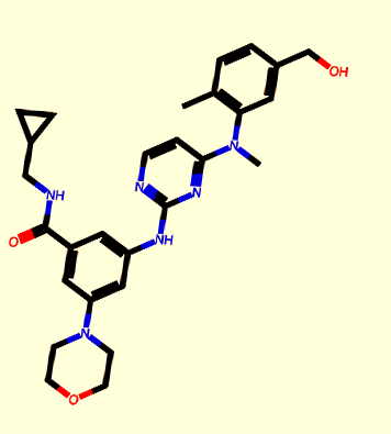 Cc1ccc(CO)cc1N(C)c1ccnc(Nc2cc(C(=O)NCC3CC3)cc(N3CCOCC3)c2)n1